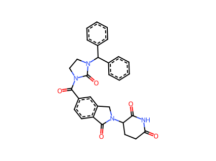 O=C1CCC(N2Cc3cc(C(=O)N4CCN(C(c5ccccc5)c5ccccc5)C4=O)ccc3C2=O)C(=O)N1